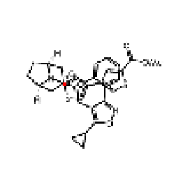 COC(=O)c1cc(-c2csc(N3[C@@H]4CC[C@H]3CC(OCc3c(-c5ccccc5OC(F)(F)F)noc3C3CC3)C4)n2)cs1